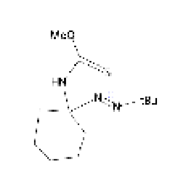 COC(=S)NC1(/N=N/C(C)(C)C)CCCCC1